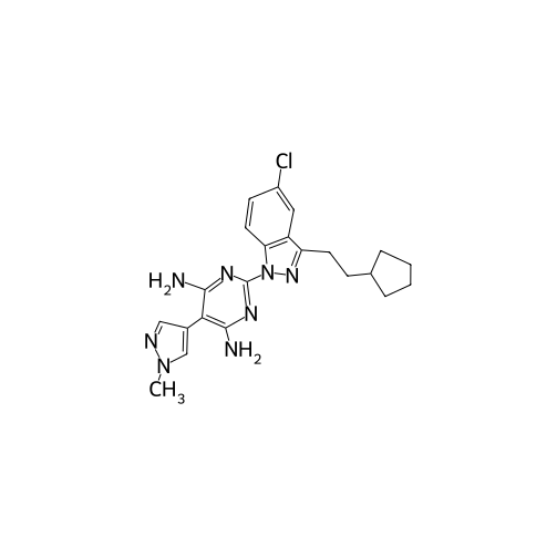 Cn1cc(-c2c(N)nc(-n3nc(CCC4CCCC4)c4cc(Cl)ccc43)nc2N)cn1